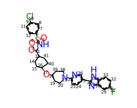 O=C(NS(=O)(=O)c1ccc(Cl)cc1)C1CCC(OC2CCN(c3ccc(-c4nc5cc(F)ccc5[nH]4)cn3)CC2)CC1